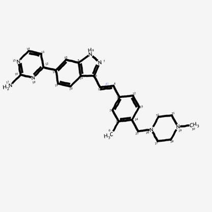 Cc1cc(/C=C/c2n[nH]c3cc(-c4ccnc(N)n4)ccc23)ccc1CN1CCN(C)CC1